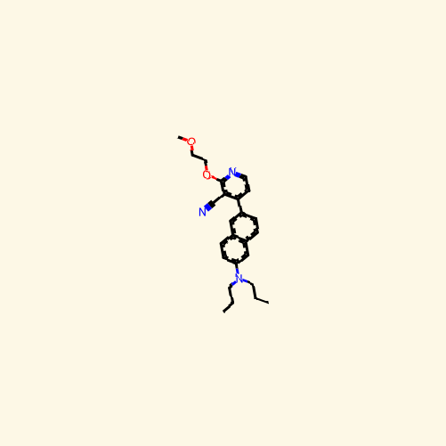 CCCN(CCC)c1ccc2cc(-c3ccnc(OCCOC)c3C#N)ccc2c1